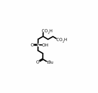 CC(C)(C)C(=O)CCP(=O)(O)CC(CCC(=O)O)C(=O)O